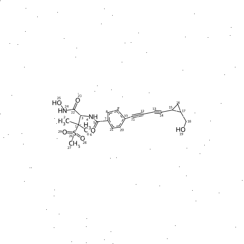 CC(C)(C(NC(=O)c1ccc(C#CC#CC2CC2CO)cc1)C(=O)NO)S(C)(=O)=O